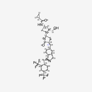 O=C1N=C(N2C[C@H](NC(=O)C3CC3)C[C@@H]2CO)S/C1=C/c1ccc2c(cnn2Cc2ccc(C(F)(F)F)cc2C(F)(F)F)c1